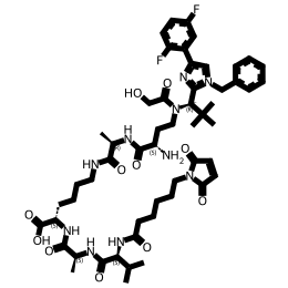 CC(C)[C@H](NC(=O)CCCCCN1C(=O)C=CC1=O)C(=O)N[C@@H](C)C(=O)N[C@@H](CCCCNC(=O)[C@@H](C)NC(=O)[C@@H](N)CCN(C(=O)CO)[C@@H](c1nc(-c2cc(F)ccc2F)cn1Cc1ccccc1)C(C)(C)C)C(=O)O